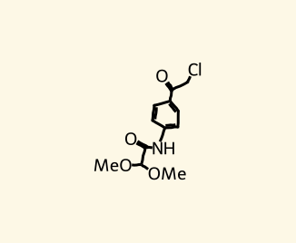 COC(OC)C(=O)Nc1ccc(C(=O)CCl)cc1